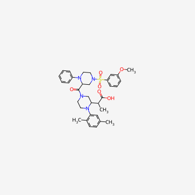 COc1cccc(S(=O)(=O)N2CCN(c3ccccc3)C(C(=O)N3CCN(c4cc(C)ccc4C)C(C(C)C(=O)O)C3)C2)c1